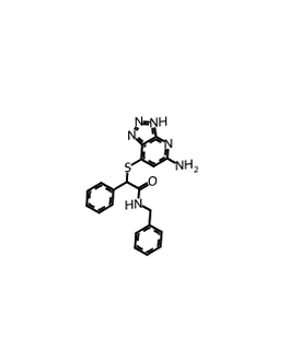 Nc1cc(SC(C(=O)NCc2ccccc2)c2ccccc2)c2nn[nH]c2n1